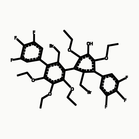 CCOc1c(OCC)c(-c2cc(F)c(F)c(F)c2)c(CBr)c(-c2c(CBr)c(-c3cc(F)c(F)c(F)c3)c(OCC)c(O)c2OCC)c1OCC